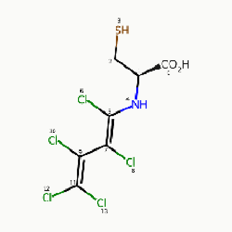 O=C(O)[C@H](CS)N/C(Cl)=C(\Cl)C(Cl)=C(Cl)Cl